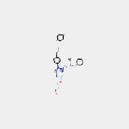 O=C(O)CCCC(=O)N1C[C@H]2CC(c3ccc(CCCOc4cc(F)ccc4Br)cc3)=C(C(=O)NC(Cc3ccccc3)C3CC3)[C@@H](C1)N2